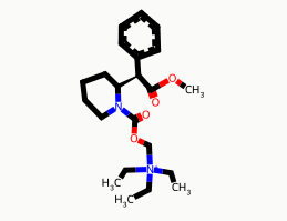 CC[N+](CC)(CC)COC(=O)N1CCCCC1[C@H](C(=O)OC)c1ccccc1